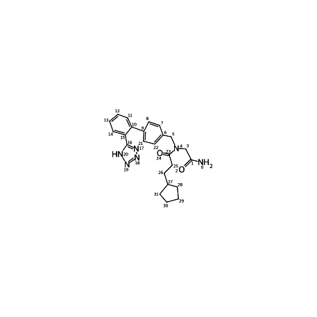 NC(=O)CN(Cc1ccc(-c2ccccc2-c2nnn[nH]2)cc1)C(=O)CCC1CCCC1